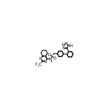 CN(c1nc(C(F)(F)F)nc2c1CCCC2)S(=O)(=O)Cc1ccc(-c2ccccc2-c2nnn[nH]2)cc1